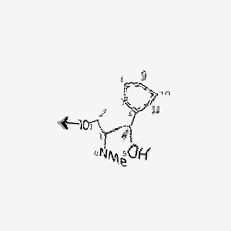 CNC(CO)C(O)c1ccccc1